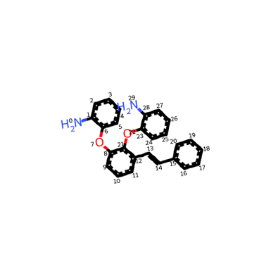 Nc1ccccc1Oc1cccc(C=Cc2ccccc2)c1Oc1ccccc1N